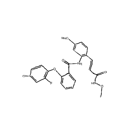 COc1ccc(/C=C/C(=O)NOF)c(NC(=O)c2ccccc2Oc2ccc(Cl)cc2F)c1